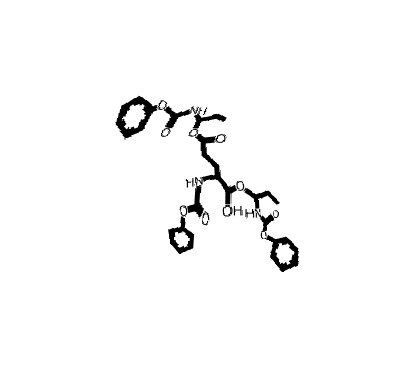 CCC(NC(=O)Oc1ccccc1)OC(=O)CCC(NC(=O)Oc1ccccc1)C(O)OC(CC)NC(=O)Oc1ccccc1